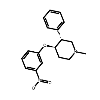 CN1CC[C@@H](Oc2cccc([N+](=O)[O-])c2)[C@H](c2ccccc2)C1